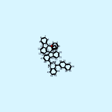 c1ccc(C23c4ccccc4-c4cccc(c42)C2(c4ccccc4-c4c(-c5nc(-c6ccc7ccccc7c6)c6ccccc6n5)cccc42)c2ccccc23)cc1